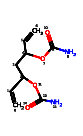 C=CC(CC(C=C)OC(N)=O)OC(N)=O